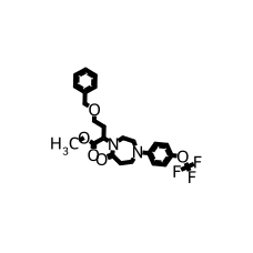 COC(=O)C(CCOCc1ccccc1)N1CCN(c2ccc(OC(F)(F)F)cc2)CCC1=O